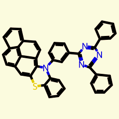 c1ccc(-c2nc(-c3ccccc3)nc(-c3cccc(-n4c5ccccc5sc5cc6ccc7cccc8ccc(c6c78)c54)c3)n2)cc1